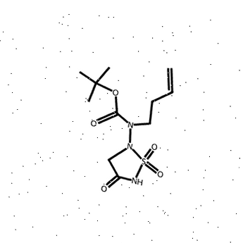 C=CCCN(C(=O)OC(C)(C)C)N1CC(=O)NS1(=O)=O